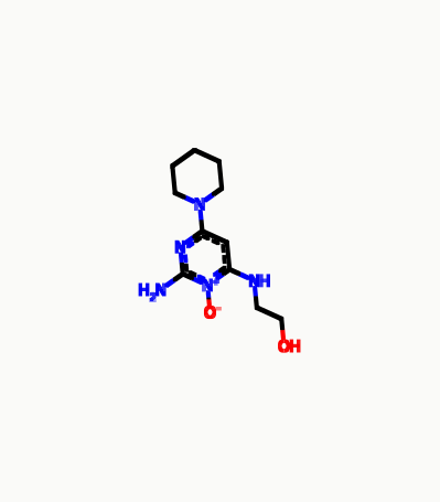 Nc1nc(N2CCCCC2)cc(NCCO)[n+]1[O-]